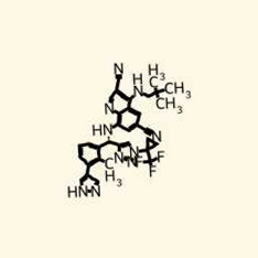 Cc1c(-c2cn[nH]c2)cccc1[C@H](Nc1cc(C#N)cc2c(NCC(C)(C)C)c(C#N)cnc12)c1cn(C2(C(F)(F)F)CC2)nn1